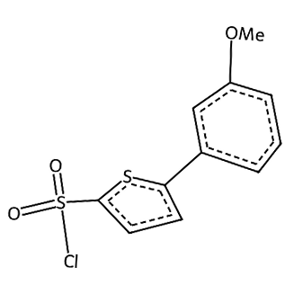 COc1cccc(-c2ccc(S(=O)(=O)Cl)s2)c1